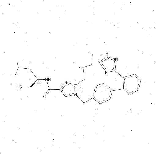 CCCCc1nc(C(=O)N[C@@H](CS)CC(C)C)cn1Cc1ccc(-c2ccccc2-c2nn[nH]n2)cc1